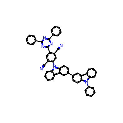 N#Cc1cc(-n2c3ccccc3c3cc(-c4ccc5c(c4)c4ccccc4n5-c4ccccc4)ccc32)c(C#N)cc1-c1nc(-c2ccccc2)nc(-c2ccccc2)n1